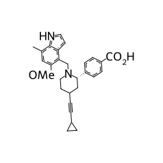 COc1cc(C)c2[nH]ccc2c1CN1CCC(C#CC2CC2)C[C@H]1c1ccc(C(=O)O)cc1